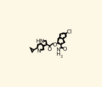 NC(=O)c1cc2cc(Cl)ccc2cc1OCC(=O)c1c[nH]c2cc(C3CC3)ncc12